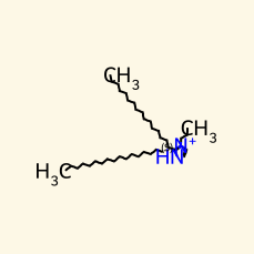 CCCCCCCCCCCCCCCCC[C@H](CCCCCCCCCCCCCCC)c1[nH]cc[n+]1CCC